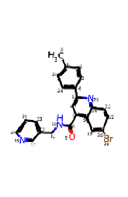 Cc1ccc(-c2cc(C(=O)NCc3cccnc3)c3cc(Br)ccc3n2)cc1